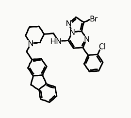 Clc1ccccc1-c1cc(NCC2CCCN(Cc3ccc4c(c3)Cc3ccccc3-4)C2)n2ncc(Br)c2n1